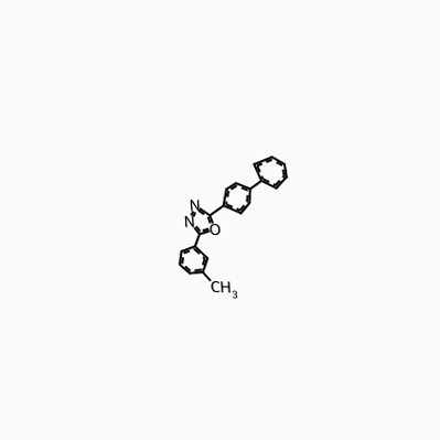 Cc1cccc(-c2nnc(-c3ccc(-c4ccccc4)cc3)o2)c1